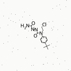 CC(C)(C)c1ccc(N(CCCl)C(=O)N=NC(N)=O)cc1